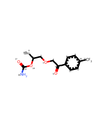 CC(C)(C)C(COCC(=O)c1ccc(C(F)(F)F)cc1)OC(N)=O